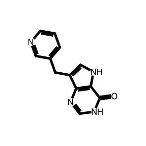 O=c1[nH]cnc2c(Cc3cccnc3)c[nH]c12